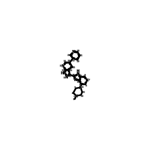 CN1CCN(c2cncc3[nH]c(-c4n[nH]c5ncc(-c6cccnc6)cc45)nc23)CC1